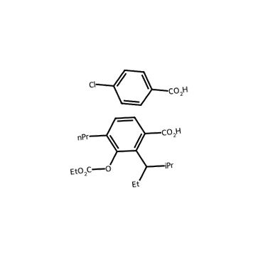 CCCc1ccc(C(=O)O)c(C(CC)C(C)C)c1OC(=O)OCC.O=C(O)c1ccc(Cl)cc1